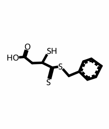 O=C(O)CC(S)C(=S)SCc1ccccc1